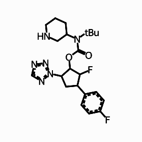 CC(C)(C)N(C(=O)OC1C(F)C(c2ccc(F)cc2)CC1n1ncnn1)C1CCCNC1